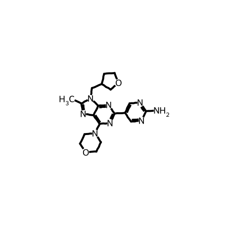 Cc1nc2c(N3CCOCC3)nc(-c3cnc(N)nc3)nc2n1CC1CCOC1